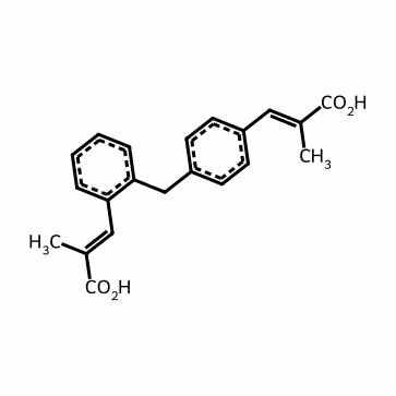 CC(=Cc1ccc(Cc2ccccc2C=C(C)C(=O)O)cc1)C(=O)O